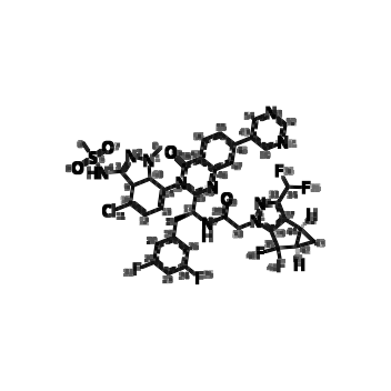 CN1N=C(NS(C)(=O)=O)C2C(Cl)=CC=C(n3c([C@H](Cc4cc(F)cc(F)c4)NC(=O)Cn4nc(C(F)F)c5c4C(F)(F)[C@@H]4C[C@H]54)nc4cc(-c5cncnc5)ccc4c3=O)C21